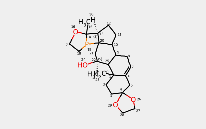 CC12CCC3(CC1=CCC1C4CC[C@@H]5C6(C)OCCP6C45C[C@](C)(O)C12)OCCO3